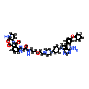 Nc1ncnc2c1c(-c1ccc(Oc3ccccc3)cc1)cn2[C@H]1CC[C@H](N2CCN(CCOCCCNC(=O)CNc3cccc4c3C(=O)N(C3CCCNC3=O)C4=O)CC2)CC1